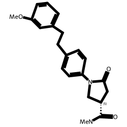 CNC(=O)[C@H]1CC(=O)N(c2ccc(CCc3cccc(OC)c3)cc2)C1